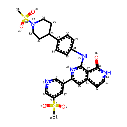 CCS(=O)(=O)c1cncc(-c2cc3cc[nH]c(=O)c3c(Nc3ccc(C4CCN(S(C)(=O)=O)CC4)cc3)n2)c1